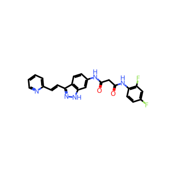 O=C(CC(=O)Nc1ccc(F)cc1F)Nc1ccc2c(/C=C/c3ccccn3)n[nH]c2c1